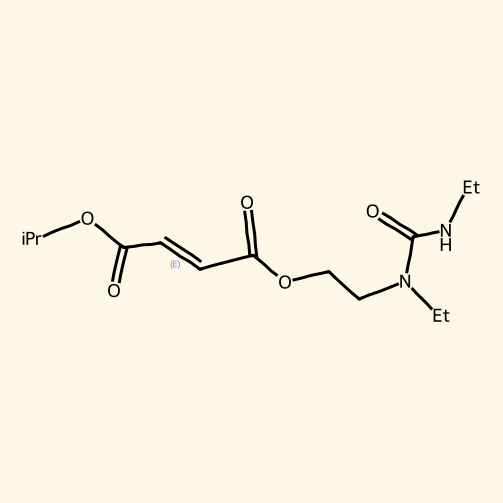 CCNC(=O)N(CC)CCOC(=O)/C=C/C(=O)OC(C)C